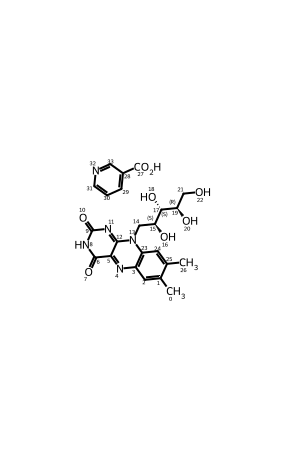 Cc1cc2nc3c(=O)[nH]c(=O)nc-3n(C[C@H](O)[C@H](O)[C@H](O)CO)c2cc1C.O=C(O)c1cccnc1